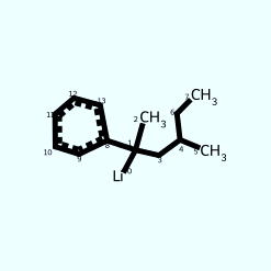 [Li][C](C)(CC(C)CC)c1ccccc1